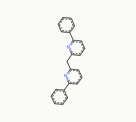 c1ccc(-c2cccc(Cc3cccc(-c4ccccc4)n3)n2)cc1